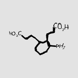 O=C(O)CCC1=C(P)CCCC1CCC(=O)O